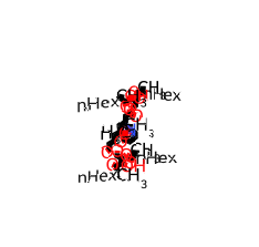 CCCCCCC(C)C(=O)OC(COC(=O)CCCC(CCCC(=O)OCC(OC(=O)C(C)CCCCCC)C(O)C(=O)C(C)CCCCCC)OC(=O)CCCN(C)C)C(O)C(=O)C(C)CCCCCC